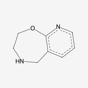 c1cnc2c(c1)CNCCO2